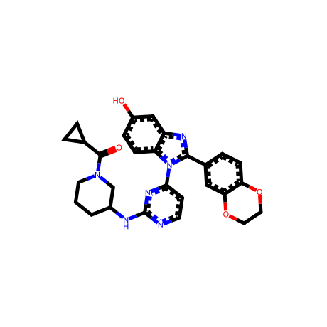 O=C(C1CC1)N1CCCC(Nc2nccc(-n3c(-c4ccc5c(c4)OCCO5)nc4cc(O)ccc43)n2)C1